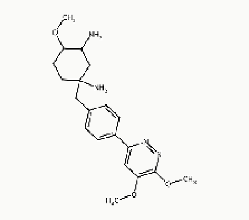 COc1cc(-c2ccc(CC3(N)CCC(OC)C(N)C3)cc2)nnc1OC